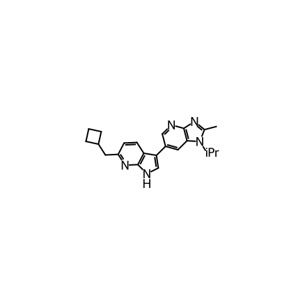 Cc1nc2ncc(-c3c[nH]c4nc(CC5CCC5)ccc34)cc2n1C(C)C